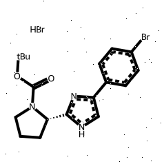 Br.CC(C)(C)OC(=O)N1CCC[C@H]1c1nc(-c2ccc(Br)cc2)c[nH]1